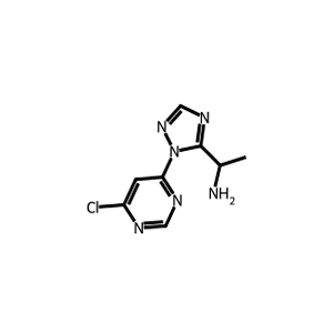 CC(N)c1ncnn1-c1cc(Cl)ncn1